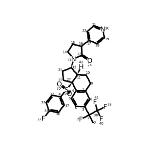 CC(F)(c1ccc2c(c1)CC[C@H]1[C@H](N3CCC(c4ccncc4)C3=O)CC[C@@]21S(=O)(=O)c1ccc(F)cc1)C(F)(F)F